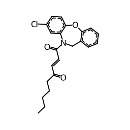 CCCCCC(=O)C=CC(=O)N1Cc2ccccc2Oc2ccc(Cl)cc21